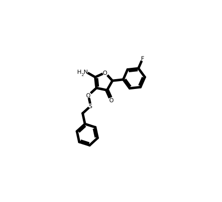 NC1=C(OSCc2ccccc2)C(=O)C(c2cccc(F)c2)O1